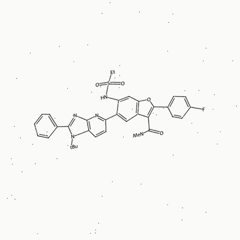 CCS(=O)(=O)Nc1cc2oc(-c3ccc(F)cc3)c(C(=O)NC)c2cc1-c1ccc2c(n1)nc(-c1ccccc1)n2C(C)(C)C